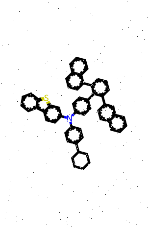 c1cc(-c2ccc3ccccc3c2)c(-c2ccc(N(c3ccc(C4CCCCC4)cc3)c3ccc4c(c3)sc3ccccc34)cc2)c(-c2cccc3ccccc23)c1